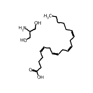 CCCCC/C=C\C/C=C\C/C=C\C/C=C\CCCC(=O)O.NC(CO)CO